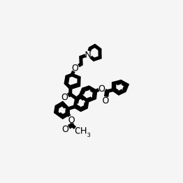 CC(=O)Oc1ccccc1-c1ccc2cc(OC(=O)c3ccccc3)ccc2c1C(=O)C1=CCC(OCCN2CCCCC2)C=C1